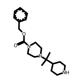 CC(C)(C1CCNCC1)N1CCN(C(=O)OCc2ccccc2)CC1